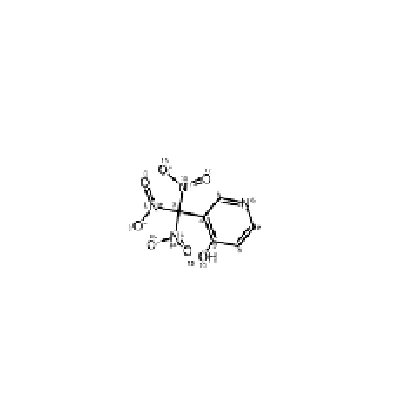 O=[N+]([O-])C(c1cnccc1O)([N+](=O)[O-])[N+](=O)[O-]